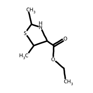 CCOC(=O)C1NC(C)SC1C